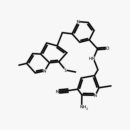 CSc1cc(Cc2cc(C(=O)NCc3cc(C#N)c(N)nc3C)ccn2)cc2cc(C)cnc12